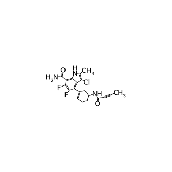 CC#CC(=O)N[C@H]1CCC=C(c2c(F)c(F)c(C(N)=O)c3[nH]c(C)c(Cl)c23)C1